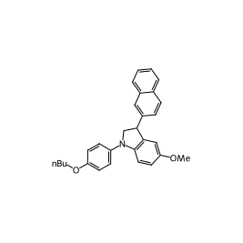 CCCCOc1ccc(N2CC(c3ccc4ccccc4c3)c3cc(OC)ccc32)cc1